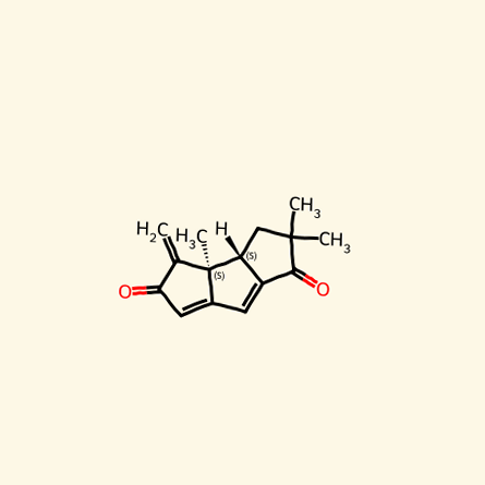 C=C1C(=O)C=C2C=C3C(=O)C(C)(C)C[C@H]3[C@]12C